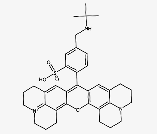 CC(C)(C)NCc1ccc(C2=c3cc4c5c(c3Oc3c2cc2c6c3CCCN6CCC2)CCC[N+]=5CCC4)c(S(=O)(=O)O)c1